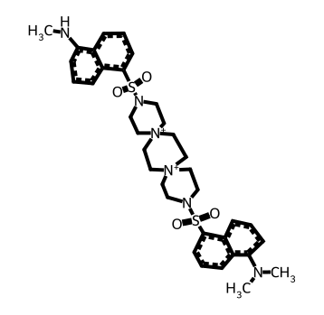 CNc1cccc2c(S(=O)(=O)N3CC[N+]4(CC3)CC[N+]3(CCN(S(=O)(=O)c5cccc6c(N(C)C)cccc56)CC3)CC4)cccc12